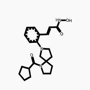 O=C(C=Cc1ccccc1N1CCC2(CCCN2C(=O)C2CCCC2)C1)NO